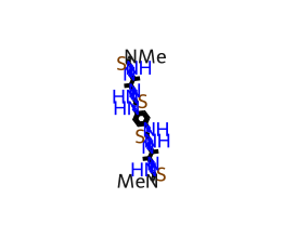 CNC(=S)N/N=C(C)/C(C)=N/NC(=S)Nc1ccc(NC(=S)N/N=C(C)/C(C)=N/NC(=S)NC)cc1